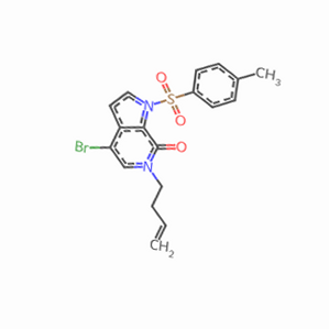 C=CCCn1cc(Br)c2ccn(S(=O)(=O)c3ccc(C)cc3)c2c1=O